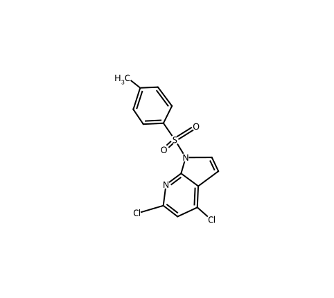 Cc1ccc(S(=O)(=O)n2ccc3c(Cl)cc(Cl)nc32)cc1